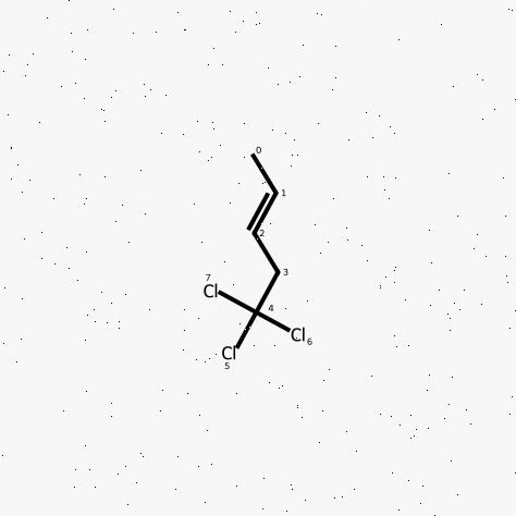 CC=CCC(Cl)(Cl)Cl